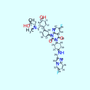 C[C@H](O)CN(C)Cc1cc(O)ccc1-c1cccc(-n2c(=O)n(C3CCC(NCc4cn5cc(F)ccc5n4)CC3)c(=O)c3cc(F)cnc32)c1